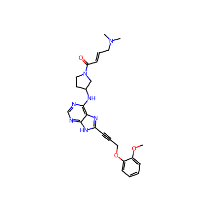 COc1ccccc1OCC#Cc1nc2c(NC3CCN(C(=O)C=CCN(C)C)C3)ncnc2[nH]1